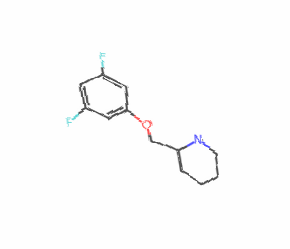 Fc1cc(F)cc(OCC2CCCC[N]2)c1